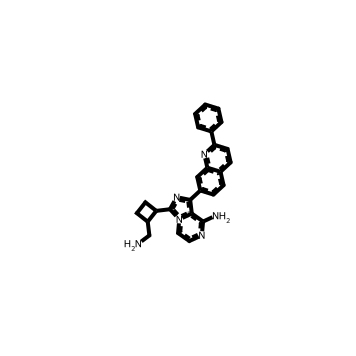 NCC1CCC1c1nc(-c2ccc3ccc(-c4ccccc4)nc3c2)c2c(N)nccn12